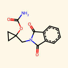 NC(=O)OC1(CN2C(=O)c3ccccc3C2=O)CC1